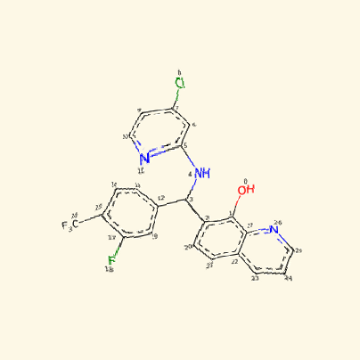 Oc1c(C(Nc2cc(Cl)ccn2)c2ccc(C(F)(F)F)c(F)c2)ccc2cccnc12